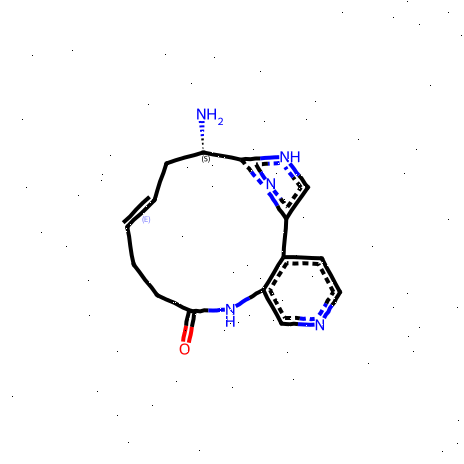 N[C@H]1C/C=C/CCC(=O)Nc2cnccc2-c2c[nH]c1n2